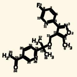 Cc1onc(-c2ccc(F)cn2)c1COC(C)(C)c1ccc(C(N)=O)cn1